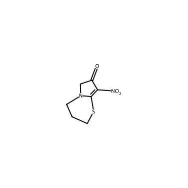 O=C1CN2CCCSC2=C1[N+](=O)[O-]